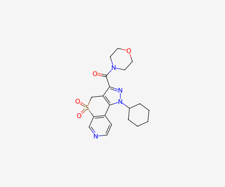 O=C(c1nn(C2CCCCC2)c2c1CS(=O)(=O)c1cnccc1-2)N1CCOCC1